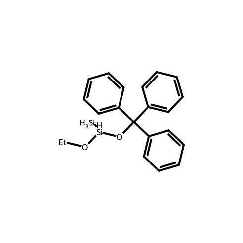 CCO[SiH]([SiH3])OC(c1ccccc1)(c1ccccc1)c1ccccc1